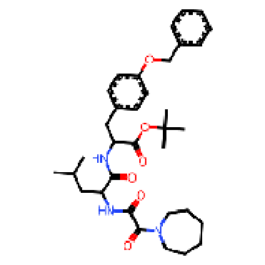 CC(C)CC(NC(=O)C(=O)N1CCCCCC1)C(=O)NC(Cc1ccc(OCc2ccccc2)cc1)C(=O)OC(C)(C)C